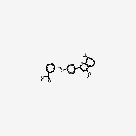 COC(=O)c1cccc(COc2ccc(-c3cc(OC)c4cccc(Cl)c4n3)cc2)c1